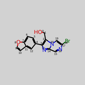 OCc1c(-c2ccc3occc3c2)nc2cnc(Br)cn12